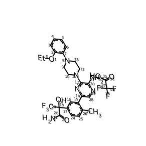 CCOc1ccccc1N1CCN(c2nc(-c3cc(C(O)(C(N)=O)C(F)(F)F)ccc3C)cnc2N)CC1.O=C(O)C(F)(F)F